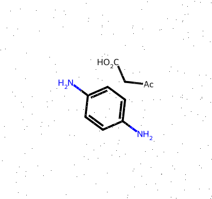 CC(=O)CC(=O)O.Nc1ccc(N)cc1